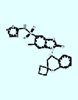 O=c1oc2cc(S(=O)(=O)Nc3ncns3)c(F)cc2n1[C@H]1CC2(CCC2)Oc2ccccc21